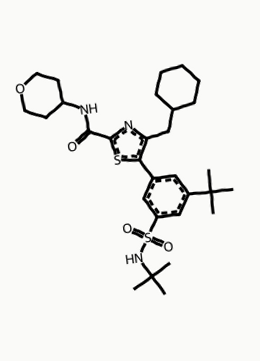 CC(C)(C)NS(=O)(=O)c1cc(-c2sc(C(=O)NC3CCOCC3)nc2CC2CCCCC2)cc(C(C)(C)C)c1